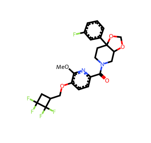 COc1nc(C(=O)N2CCC3(c4cccc(F)c4)OCOC3C2)ccc1OCC1CC(F)(F)C1(F)F